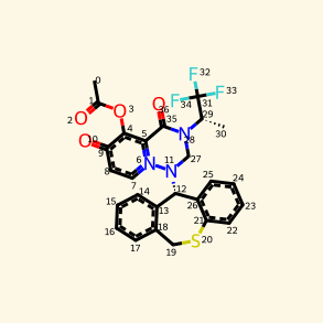 CC(=O)Oc1c2n(ccc1=O)N([C@H]1c3ccccc3CSc3ccccc31)CN([C@@H](C)C(F)(F)F)C2=O